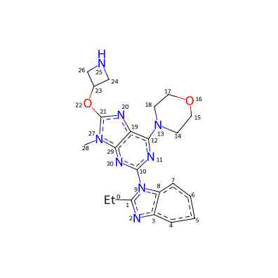 CCc1nc2ccccc2n1-c1nc(N2CCOCC2)c2nc(OC3CNC3)n(C)c2n1